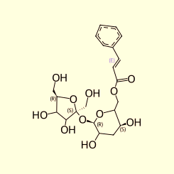 O=C(/C=C/c1ccccc1)OCC1O[C@H](O[C@]2(CO)O[C@H](CO)C(O)C2O)C(O)C[C@@H]1O